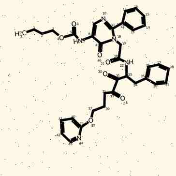 CCCCOC(=O)Nc1cnc(-c2ccccc2)n(CC(=O)NC(Cc2ccccc2)C(=O)C(=O)CCCOc2ccccn2)c1=O